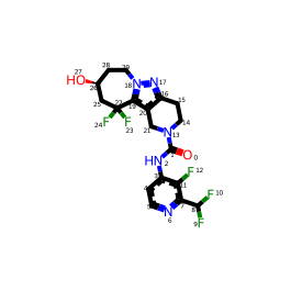 O=C(Nc1ccnc(C(F)F)c1F)N1CCc2nn3c(c2C1)C(F)(F)C[C@@H](O)CC3